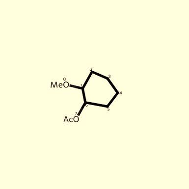 COC1CCCCC1OC(C)=O